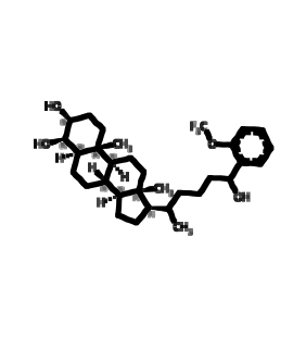 CC(CCCC(O)c1ccccc1OC(F)(F)F)[C@H]1CC[C@H]2[C@@H]3CC[C@H]4[C@@H](O)[C@@H](O)CC[C@]4(C)[C@H]3CC[C@]12C